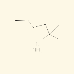 CCCCC(C)(C)C.N.N